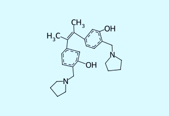 CC(=C(C)c1ccc(CN2CCCC2)c(O)c1)c1ccc(CN2CCCC2)c(O)c1